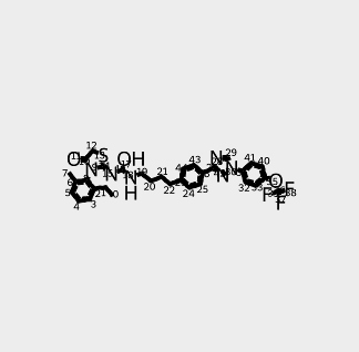 CCc1cccc(C)c1N1C(=O)CS/C1=N\C(O)NCCCCc1ccc(-c2ncn(-c3ccc(OC(F)(F)F)cc3)n2)cc1